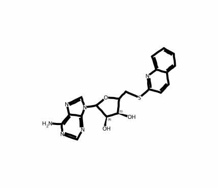 Nc1ncnc2c1ncn2C1OC(CSc2ccc3ccccc3n2)[C@@H](O)[C@H]1O